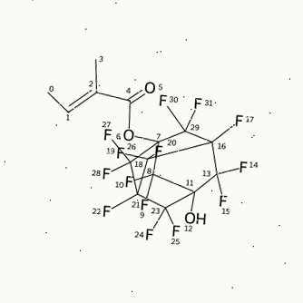 CC=C(C)C(=O)OC12C(F)(F)C3(O)C(F)(F)C(F)(C(F)(F)C(F)(C3(F)F)C1(F)F)C2(F)F